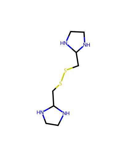 C1CNC(CSSCC2NCCN2)N1